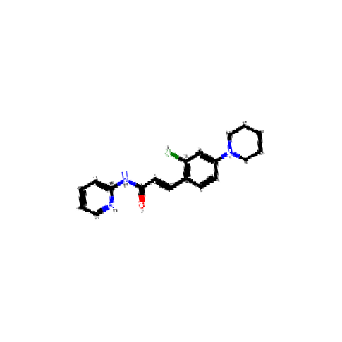 O=C(/C=C/c1ccc(N2CCCCC2)cc1Cl)Nc1ccccn1